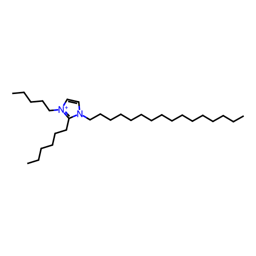 CCCCCCCCCCCCCCCCn1cc[n+](CCCCC)c1CCCCCC